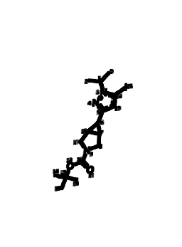 CC(C)n1nc(C2C3CN(C(=O)OC(C)(C)C)CC32)cc1I